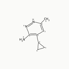 Cc1cc(C2CC2)c(N)nn1